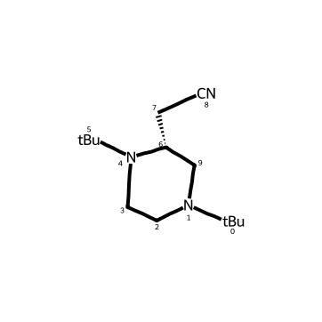 CC(C)(C)N1CCN(C(C)(C)C)[C@H](CC#N)C1